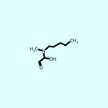 CCCCCN(C)C(O)[C]=O